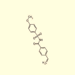 C=Cc1ccc(C(=O)NS(=O)(=O)c2ccc(OC)cc2)cc1